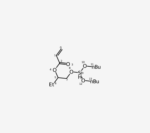 C=CC(=O)OC(CC)CO[SiH](OCCCC)OCCCC